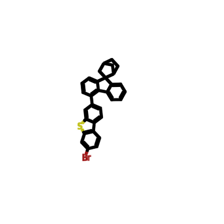 Brc1ccc2c(c1)sc1cc(-c3cccc4c3-c3ccccc3C43CC4CCC3C4)ccc12